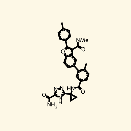 CNC(=O)c1c(-c2ccc(C)cc2)oc2ccc(-c3cc(C(=O)NC4(c5nnc(C(N)=O)[nH]5)CC4)ccc3C)cc12